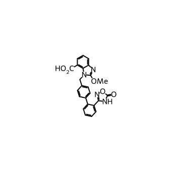 COc1nc2cccc(C(=O)O)c2n1Cc1ccc(-c2ccccc2-c2noc(=O)[nH]2)cc1